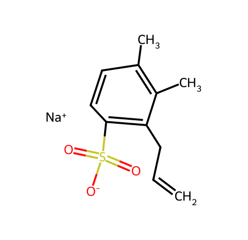 C=CCc1c(S(=O)(=O)[O-])ccc(C)c1C.[Na+]